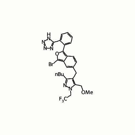 CCCCc1nn(CC(F)(F)F)c(COC)c1Cc1ccc2c(-c3ccccc3-c3nnn[nH]3)oc(Br)c2c1